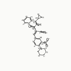 N#C/C(=C\c1ccc(N2CCCCC2)c([N+](=O)[O-])c1)C(=O)NC(c1ccccc1)C1CC1